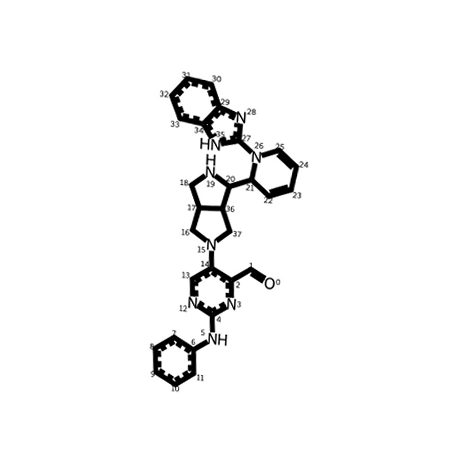 O=Cc1nc(Nc2ccccc2)ncc1N1CC2CNC(C3C=CC=CN3c3nc4ccccc4[nH]3)C2C1